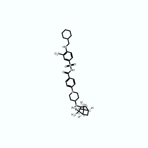 CC(=O)N(C1CCN(c2ccc(C(=O)NS(=O)(=O)c3ccc(NCC4CCCCC4)c([N+](=O)[O-])c3)cc2)CC1)[C@H]1C[C@H]2C[C@@H]([C@@H]1C)C2(C)C